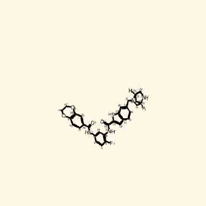 O=C(Nc1ccc(F)c(NC(=O)c2cc3ccc(CN4C[C@@H]5C[C@H]4CN5)cc3s2)c1)c1ccc2c(c1)OCCO2